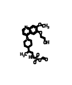 COc1cc2nccc(N3CCC(C(C)CNS(=O)(=O)OC=O)CC3)c2cc1OCCO